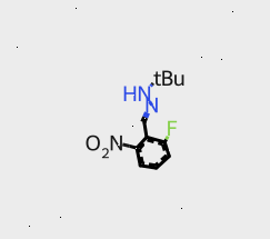 CC(C)(C)NN=Cc1c(F)cccc1[N+](=O)[O-]